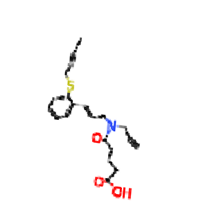 C#CCN(C/C=C/c1ccccc1SCC#CC)C(=O)CCCC(=O)O